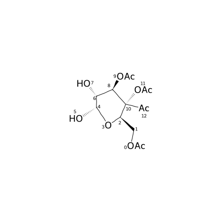 CC(=O)OC[C@H]1O[C@H](O)[C@H](O)[C@@H](OC(C)=O)[C@@]1(OC(C)=O)C(C)=O